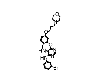 Brc1cccc(Nc2ncnc3c2NCc2ccc(OCCCN4CCOCC4)cc2O3)c1